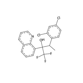 CC(c1ccc(Cl)cc1Cl)C(O)(c1cccc2cccnc12)C(F)(F)F